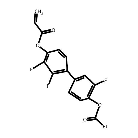 C=CC(=O)Oc1ccc(-c2ccc(OC(=O)CC)c(F)c2)c(F)c1F